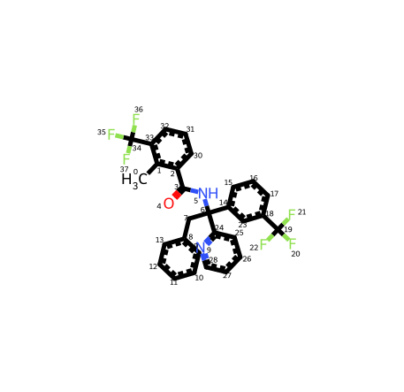 Cc1c(C(=O)NC(Cc2ccccc2)(c2cccc(C(F)(F)F)c2)c2ccccn2)cccc1C(F)(F)F